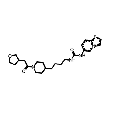 O=C(NCCCCC1CCN(C(=O)CC2CCOC2)CC1)Nc1ccc2nccn2c1